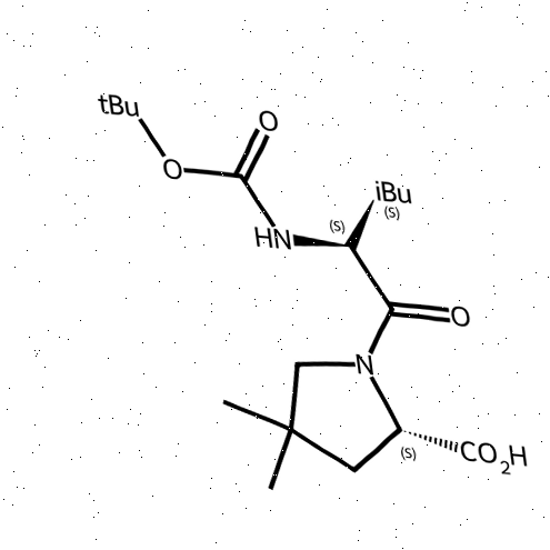 CC[C@H](C)[C@H](NC(=O)OC(C)(C)C)C(=O)N1CC(C)(C)C[C@H]1C(=O)O